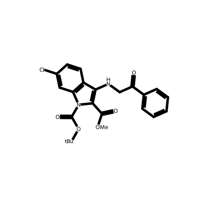 COC(=O)c1c(NCC(=O)c2ccccc2)c2ccc(Cl)cc2n1C(=O)OC(C)(C)C